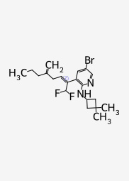 C=C(C/C=C(/c1cc(Br)cnc1NC1CC(C)(C)C1)C(F)F)CCC